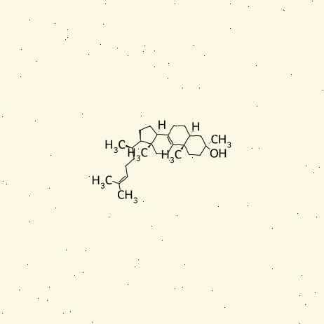 CC(C)=CCC[C@@H](C)[C@H]1CC[C@H]2C3=C(CC[C@]12C)[C@@]1(C)CC[C@](C)(O)C[C@@H]1CC3